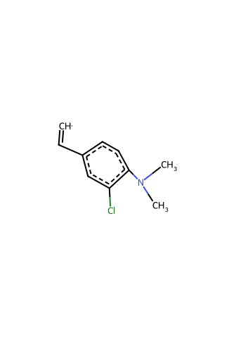 [CH]=Cc1ccc(N(C)C)c(Cl)c1